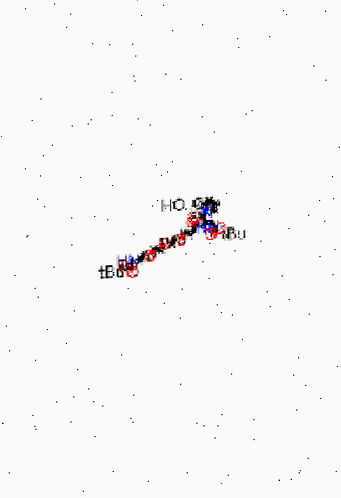 CC(C)(C)OC(=O)CC(NC(=O)CCOCCOCCOCCNC(=O)OC(C)(C)C)C(=O)N1CCC[C@H]1C(=O)O